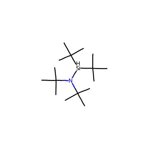 CC(C)(C)N([SiH](C(C)(C)C)C(C)(C)C)C(C)(C)C